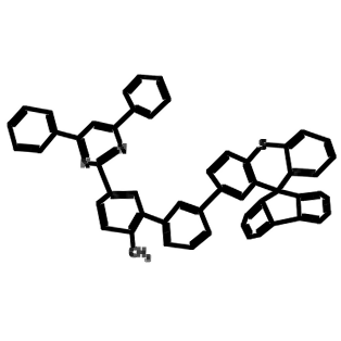 Cc1ccc(-c2nc(-c3ccccc3)cc(-c3ccccc3)n2)cc1-c1cccc(-c2ccc3c(c2)C2(c4ccccc4S3)c3ccccc3-c3ccccc32)c1